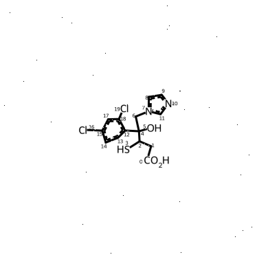 O=C(O)CC(S)C(O)(Cn1ccnc1)c1ccc(Cl)cc1Cl